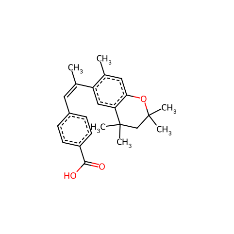 C/C(=C/c1ccc(C(=O)O)cc1)c1cc2c(cc1C)OC(C)(C)CC2(C)C